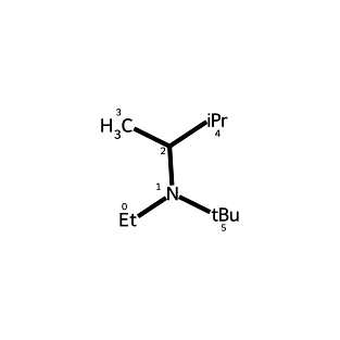 CCN(C(C)C(C)C)C(C)(C)C